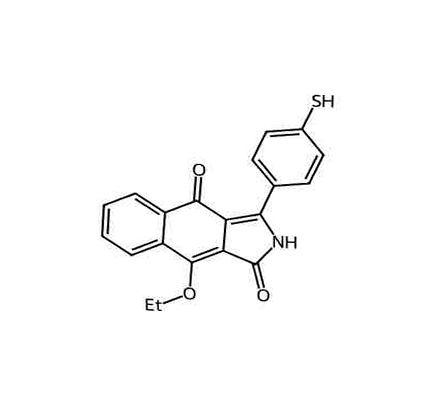 CCOC1=C2C(=O)NC(c3ccc(S)cc3)=C2C(=O)c2ccccc21